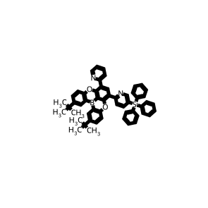 CC(C)(C)c1ccc2c(c1)B1c3cc(C(C)(C)C)ccc3Oc3c(-c4ccc([Si](c5ccccc5)(c5ccccc5)c5ccccc5)cn4)cc(-c4ccccn4)c(c31)O2